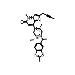 CC#CCc1cn2c(n1)c(N1C[C@@H](CC)N(C(C)c3ccc4nc(C)sc4c3)C[C@@H]1C)cc(=O)n2C